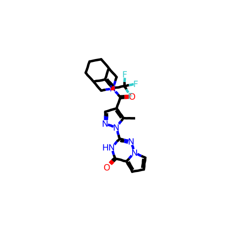 Cc1c(C(=O)N2CC3CCCC(C2)C3=CC(F)(F)F)cnn1-c1nn2cccc2c(=O)[nH]1